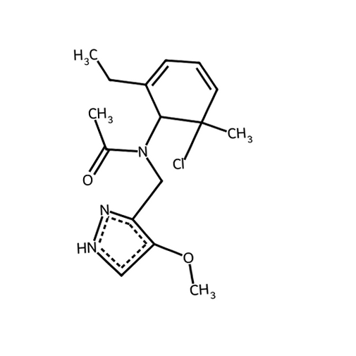 CCC1=CC=CC(C)(Cl)C1N(Cc1n[nH]cc1OC)C(C)=O